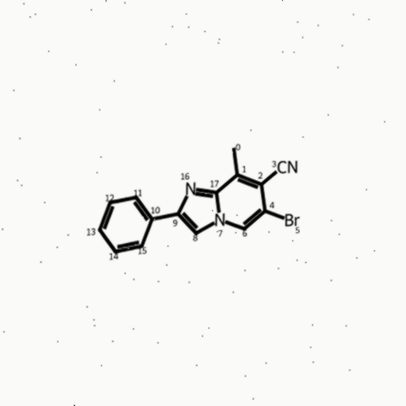 Cc1c(C#N)c(Br)cn2cc(-c3ccccc3)nc12